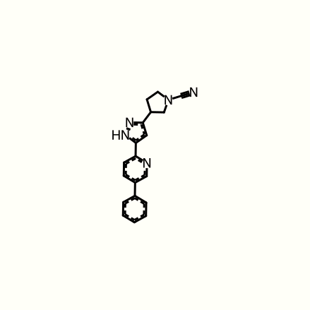 N#CN1CCC(c2cc(-c3ccc(-c4ccccc4)cn3)[nH]n2)C1